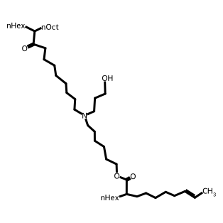 C/C=C/CCCCCC(CCCCCC)C(=O)OCCCCCCN(CCCO)CCCCCCCCC(=O)C(CCCCCC)CCCCCCCC